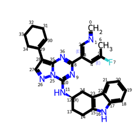 C=N/C=C(\C=C(/C)F)c1nc(N[C@@H]2CCc3[nH]c4ccccc4c3C2)n2ncc(C3=CCCCC3)c2n1